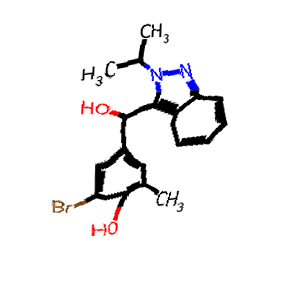 Cc1cc(C(O)c2c3ccccc3nn2C(C)C)cc(Br)c1O